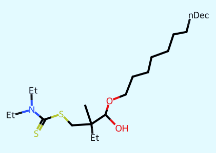 CCCCCCCCCCCCCCCCCOC(O)C(C)(CC)CSC(=S)N(CC)CC